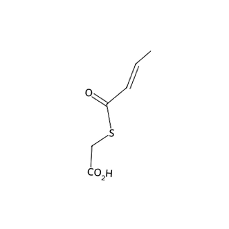 CC=CC(=O)SCC(=O)O